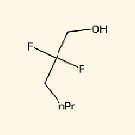 [CH2]CCCC(F)(F)CO